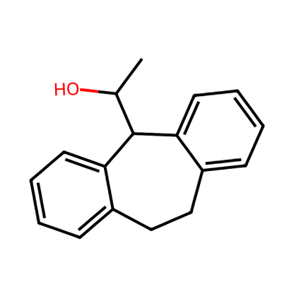 CC(O)C1c2ccccc2CCc2ccccc21